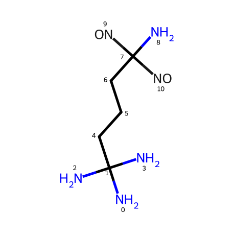 NC(N)(N)CCCC(N)(N=O)N=O